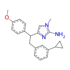 COc1ccc(C(Cc2cccc(C3CC3)c2)c2cn(C)c(N)n2)cc1